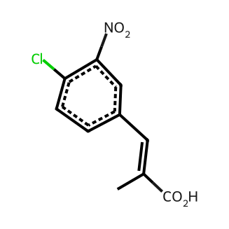 CC(=Cc1ccc(Cl)c([N+](=O)[O-])c1)C(=O)O